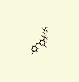 Cc1ccc(Cc2cc(C)cc(S(=O)(=O)OCC(C)(C)C)c2)cc1